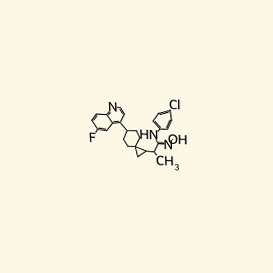 CC(/C(=N/O)Nc1ccc(Cl)cc1)C1CC12CCC(c1ccnc3ccc(F)cc13)CC2